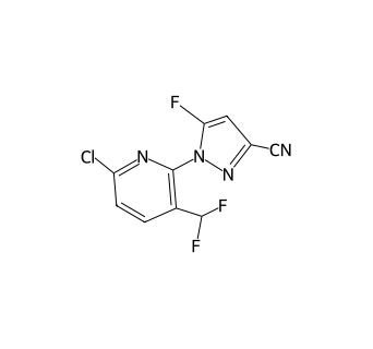 N#Cc1cc(F)n(-c2nc(Cl)ccc2C(F)F)n1